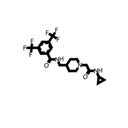 O=C(CN1CCC(CNC(=O)c2cc(C(F)(F)F)cc(C(F)(F)F)c2)CC1)NC1CC1